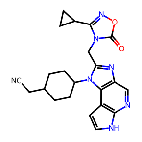 N#CCC1CCC(n2c(Cn3c(C4CC4)noc3=O)nc3cnc4[nH]ccc4c32)CC1